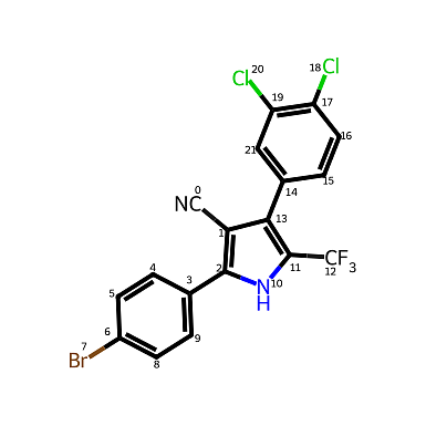 N#Cc1c(-c2ccc(Br)cc2)[nH]c(C(F)(F)F)c1-c1ccc(Cl)c(Cl)c1